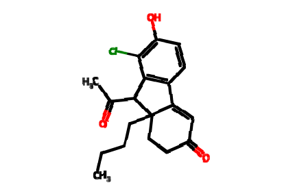 CCCCC12CCC(=O)C=C1c1ccc(O)c(Cl)c1C2C(C)=O